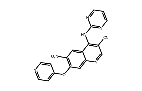 N#Cc1cnc2cc(Oc3ccncc3)c([N+](=O)[O-])cc2c1Nc1ncccn1